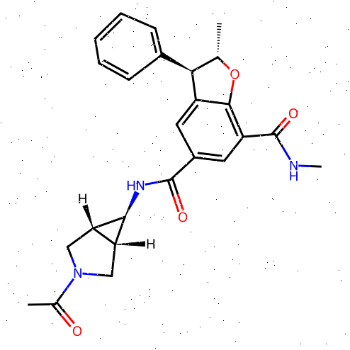 CNC(=O)c1cc(C(=O)N[C@H]2[C@@H]3CN(C(C)=O)C[C@@H]32)cc2c1O[C@@H](C)[C@@H]2c1ccccc1